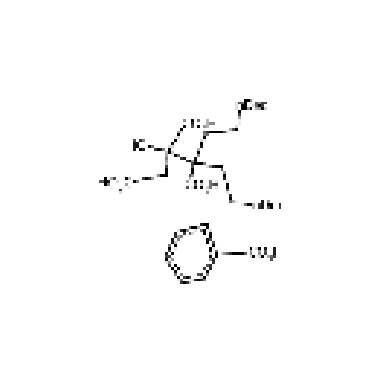 CCCCCCCCCCCCC(CCCCCCCCCCCC)(C(=O)O)C(O)(CC(=O)O)C(=O)O.O=C(O)c1ccccc1